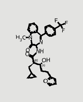 CN1C(=O)C(NC(=O)[C@H](CC2CC2)[C@@H](O)CCc2ccco2)N=C(c2ccc(C(F)(F)F)cc2)c2ccccc21